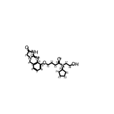 O=C1CN2Cc3cccc(OCCCC(=O)N(CCO)C4CCCC4)c3N=C2N1